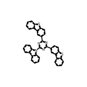 c1ccc2c(c1)sc1ccc(-c3nc(-c4ccc5sc6ccccc6c5c4)nc(-n4c5ccccc5c5ccccc54)n3)cc12